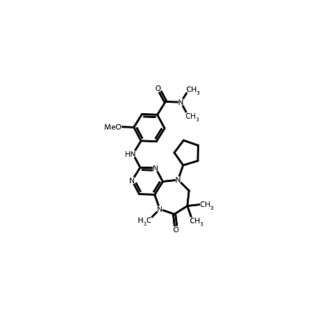 COc1cc(C(=O)N(C)C)ccc1Nc1ncc2c(n1)N(C1CCCC1)CC(C)(C)C(=O)N2C